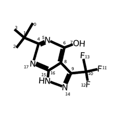 CC(C)(C)c1nc(O)c2c(C(F)(F)F)n[nH]c2n1